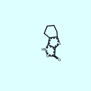 O=c1o[nH]c2c3c(sc12)CCCC3